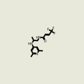 Cc1cc(NC(C)CNC(=O)/C=C/C(F)(F)F)cc(C)n1